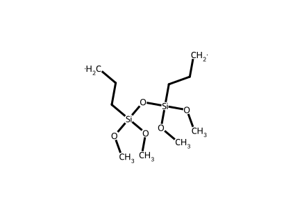 [CH2]CC[Si](OC)(OC)O[Si](CC[CH2])(OC)OC